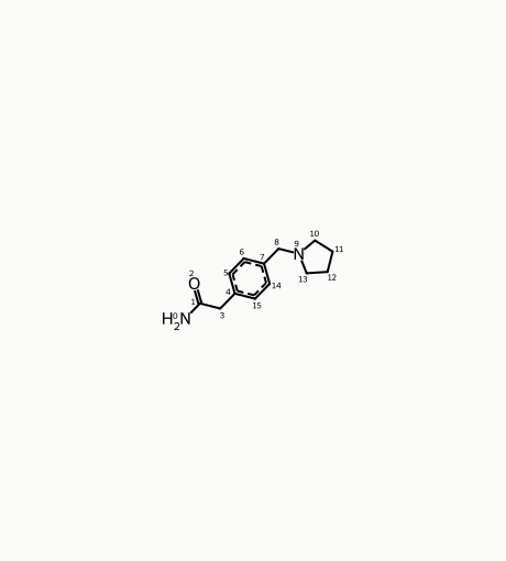 NC(=O)Cc1ccc(CN2CCCC2)cc1